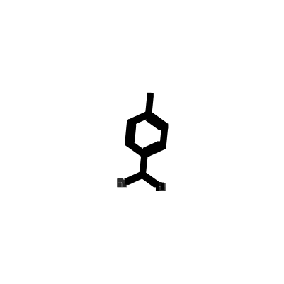 CCC(CC)c1ccc(C)cc1